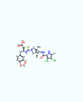 Cc1[nH]c(C(=O)NC2[C@H]3CN(c4nc(Cc5ccc6c(c5)OCO6)c(C(=O)O)s4)C[C@@H]23)c(Cl)c1Cl